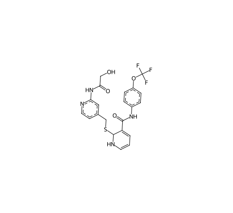 O=C(CO)Nc1cc(CSC2NC=CC=C2C(=O)Nc2ccc(OC(F)(F)F)cc2)ccn1